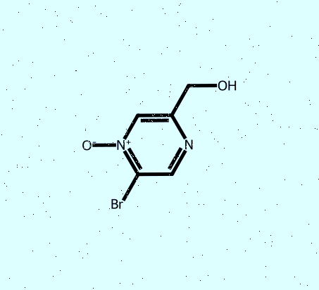 [O-][n+]1cc(CO)ncc1Br